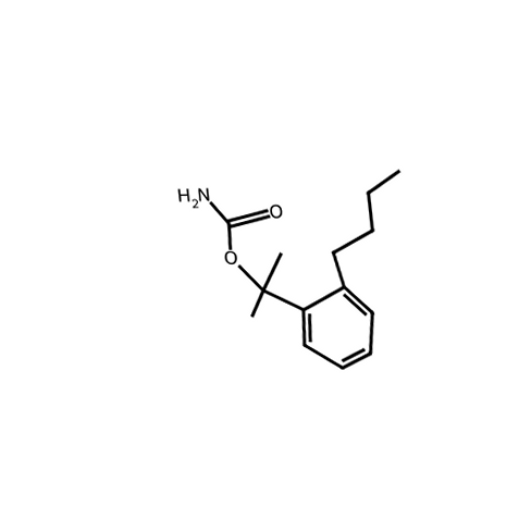 CCCCc1ccccc1C(C)(C)OC(N)=O